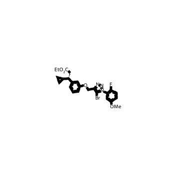 CCOC(=O)C[C@H](c1cccc(OCc2nnn(-c3cc(OC)ccc3F)c2Br)c1)C1CC1